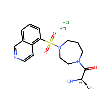 C[C@@H](N)C(=O)N1CCCN(S(=O)(=O)c2cccc3cnccc23)CC1.Cl.Cl